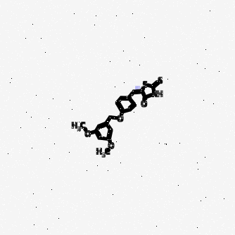 COc1cc(COc2ccc(/C=C3/SC(=S)NC3=O)cc2)cc(OC)c1